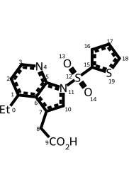 CCc1ccnc2c1c(CC(=O)O)cn2S(=O)(=O)c1cccs1